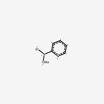 CCN(OC)c1ccccn1